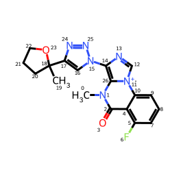 CN1C(=O)c2c(F)cccc2[N+]2C=NC(n3cc(C4(C)CCCO4)nn3)=C12